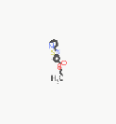 CCCCOC(=O)c1ccc2sc(-c3ccccn3)nc2c1